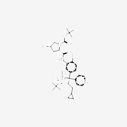 CC(C)(C)OC(=O)N1C[C@H](O)C[C@@H]1C(=O)Nc1cc([C@@](CCC2CC2)(NS(=O)(=O)C(C)(C)C)c2ccncc2)ccc1F